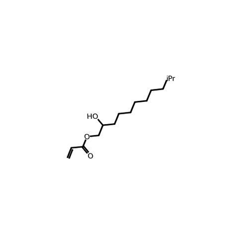 C=CC(=O)OCC(O)CCCCCCCC(C)C